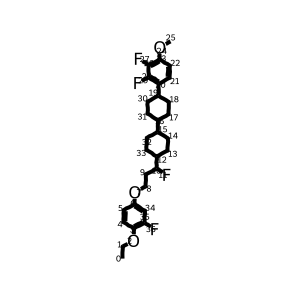 CCOc1ccc(OCCC(F)C2CCC(C3CCC(c4ccc(OC)c(F)c4F)CC3)CC2)cc1F